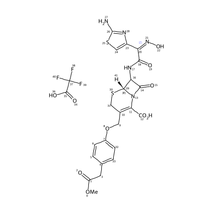 COC(=O)Cc1ccc(OCC2=C(C(=O)O)N3C(=O)C(NC(=O)/C(=N\O)c4csc(N)n4)[C@H]3SC2)cc1.O=C(O)C(F)(F)F